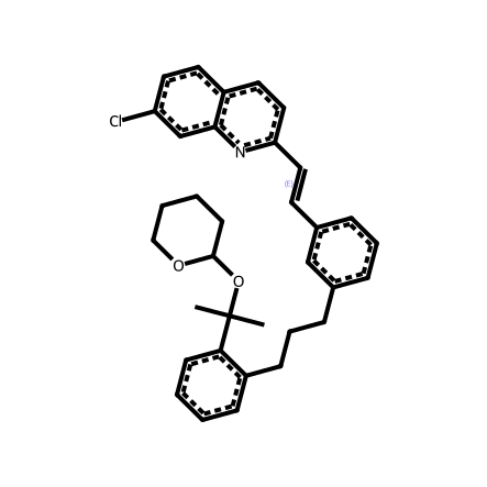 CC(C)(OC1CCCCO1)c1ccccc1CCCc1cccc(/C=C/c2ccc3ccc(Cl)cc3n2)c1